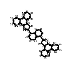 c1cc(C2=Nc3c(c4cccnc4c4cccnc34)C2)c2cccc(C3=Nc4c(c5cccnc5c5cccnc45)C3)c2c1